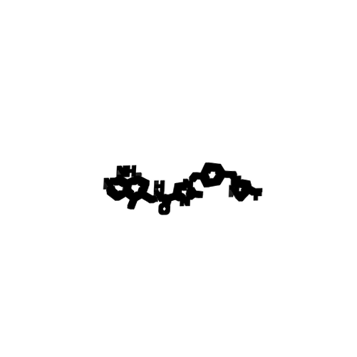 Cc1c(CNC(=O)c2cn(Cc3ccc(Cn4cc(F)cn4)cc3)c(C)n2)ccc2c(N)nccc12